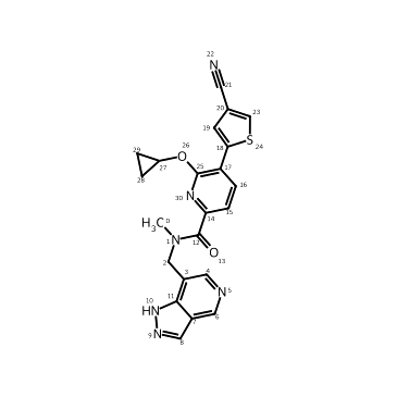 CN(Cc1cncc2cn[nH]c12)C(=O)c1ccc(-c2cc(C#N)cs2)c(OC2CC2)n1